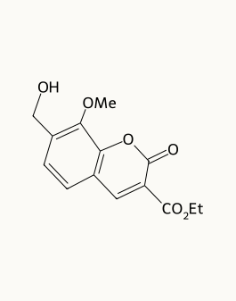 CCOC(=O)c1cc2ccc(CO)c(OC)c2oc1=O